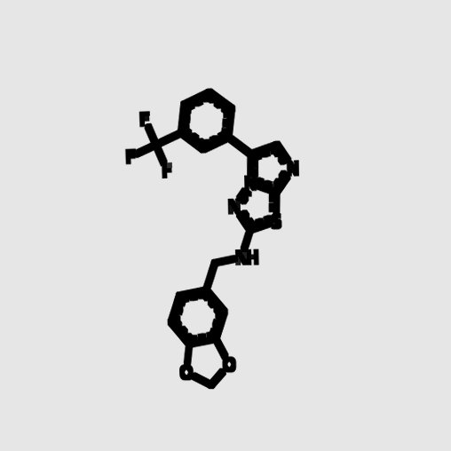 FC(F)(F)c1cccc(-c2cnc3sc(NCc4ccc5c(c4)OCO5)nn23)c1